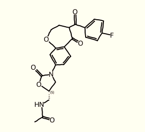 CC(=O)NC[C@H]1CN(c2ccc3c(c2)OCCC(C(=O)c2ccc(F)cc2)C3=O)C(=O)O1